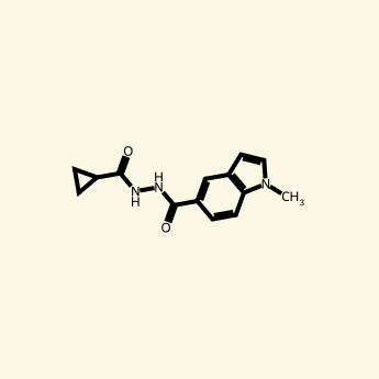 Cn1ccc2cc(C(=O)NNC(=O)C3CC3)ccc21